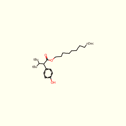 CCCCCCCCCCCCCCCCCCOC(=O)C(c1ccc(O)cc1)C(C(C)(C)C)C(C)(C)C